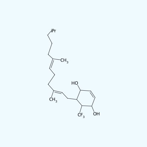 C/C(=C\CC1C(O)C=CC(O)C1C(F)(F)F)CC/C=C(\C)CCCC(C)C